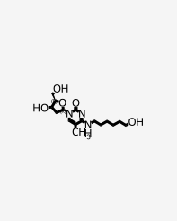 Cc1cn([C@H]2CC(O)[C@@H](CO)O2)c(=O)nc1NCCCCCCO